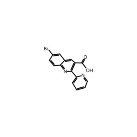 O=C(O)c1cc2cc(Br)ccc2nc1-c1ccccn1